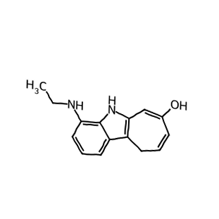 CCNc1cccc2c3c([nH]c12)C=C(O)C=CC3